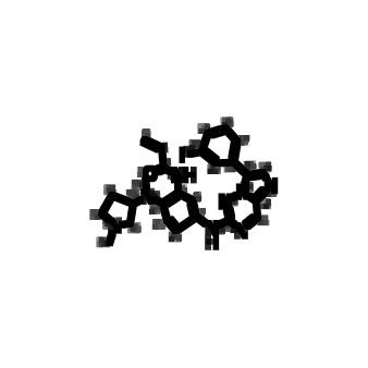 C=CC(=O)Nc1cc(Nc2ncc3ncc(-c4cccc(F)c4)n3n2)ccc1N(C)C1CCN(C)C1